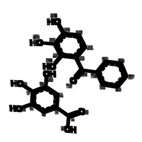 O=C(O)c1cc(O)c(O)c(O)c1.O=C(c1ccccc1)c1ccc(O)c(O)c1O